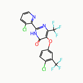 O=c1[nH]c(-c2ncccc2Cl)nc(C(F)(F)F)c1Oc1ccc(Cl)c(C(F)(F)F)c1